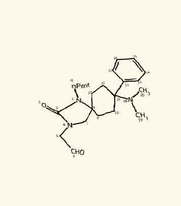 CCCCCN1C(=O)N(CC=O)CC12CCC(c1ccccc1)(N(C)C)CC2